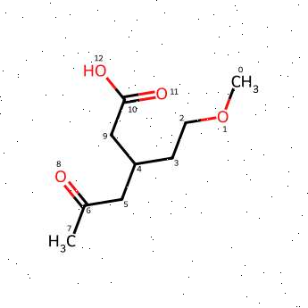 COCCC(CC(C)=O)CC(=O)O